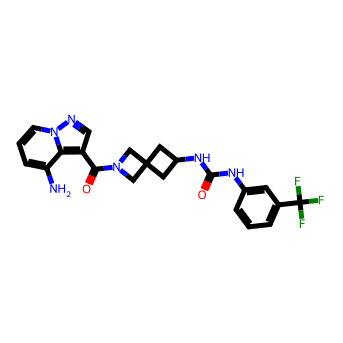 Nc1cccn2ncc(C(=O)N3CC4(CC(NC(=O)Nc5cccc(C(F)(F)F)c5)C4)C3)c12